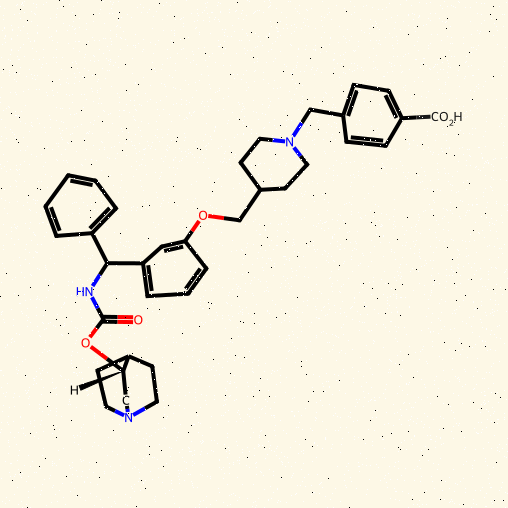 O=C(NC(c1ccccc1)c1cccc(OCC2CCN(Cc3ccc(C(=O)O)cc3)CC2)c1)O[C@H]1CN2CCC1CC2